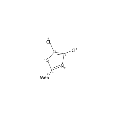 CSc1nc(Cl)c(Cl)s1